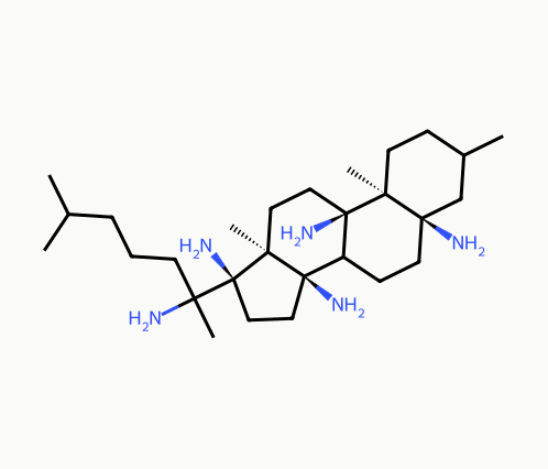 CC(C)CCCC(C)(N)[C@@]1(N)CC[C@@]2(N)C3CC[C@@]4(N)CC(C)CC[C@]4(C)[C@@]3(N)CC[C@@]21C